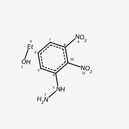 CCO.NNc1cccc([N+](=O)[O-])c1[N+](=O)[O-]